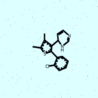 Cc1sc(-c2ccccc2Cl)c(C2C=CN=CN2)c1C